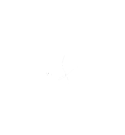 O=P([O-])([O-])OF.[Mg+2]